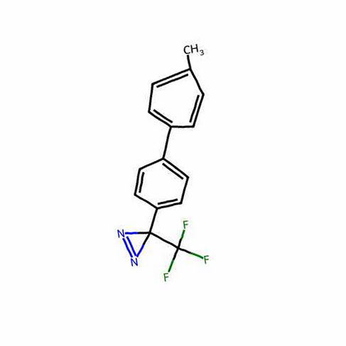 Cc1ccc(-c2ccc(C3(C(F)(F)F)N=N3)cc2)cc1